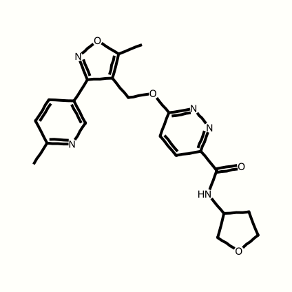 Cc1ccc(-c2noc(C)c2COc2ccc(C(=O)NC3CCOC3)nn2)cn1